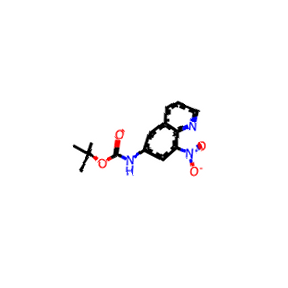 CC(C)(C)OC(=O)Nc1cc([N+](=O)[O-])c2ncccc2c1